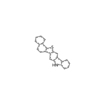 c1ccc2c(c1)ccc1c3cc4[nH]c5ccccc5c4cc3sc21